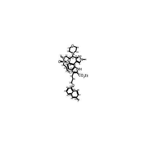 CCOC(=O)c1[nH]c2c(-c3cn(C)nc3C(CCN(C)S(=O)(=O)CCCCl)N3CCOCC3)c(Cl)ccc2c1CCCOc1cccc2cc(F)ccc12